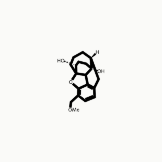 COCc1ccc2c3c1OC14CCC[C@H](C2)[C@](O)(CC[C@H]1O)C34